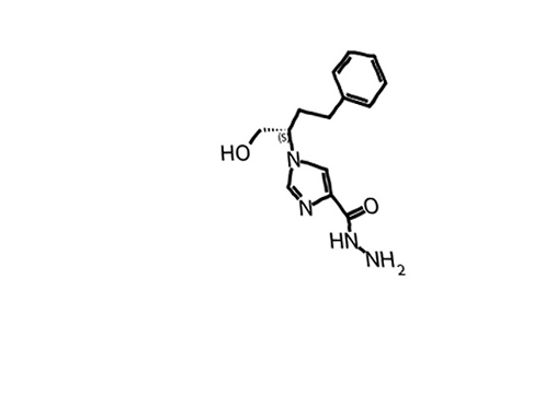 NNC(=O)c1cn([C@H](CO)CCc2ccccc2)cn1